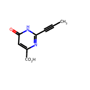 CC#Cc1nc(C(=O)O)cc(=O)[nH]1